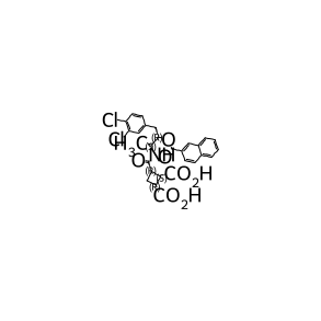 C[C@H](NC(=O)[C@@H]1C[C@@H](C(=O)O)[C@H]1C(=O)O)[C@@H](Cc1ccc(Cl)c(Cl)c1)OC(=O)c1ccc2ccccc2c1